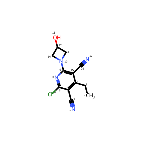 CCc1c(C#N)c(Cl)nc(N2CC(O)C2)c1C#N